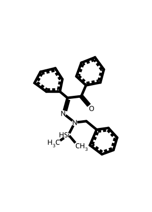 C[SiH](C)N(Cc1ccccc1)N=C(C(=O)c1ccccc1)c1ccccc1